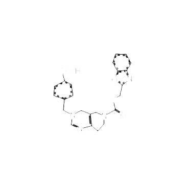 O=C(O)c1ccc(CN2C=NC3=C(C2)CN(C(=O)OCc2nc4ccccc4o2)CC3)cc1